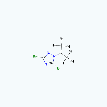 [2H]C([2H])([2H])C(n1nc(Br)nc1Br)C([2H])([2H])[2H]